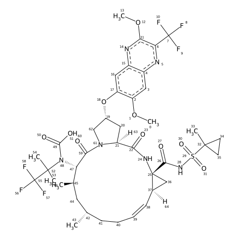 COc1cc2nc(C(F)(F)F)c(OC)nc2cc1O[C@@H]1C[C@H]2C(=O)N[C@]3(C(=O)NS(=O)(=O)C4(C)CC4)C[C@H]3/C=C\CC[C@H](C)C[C@@H](C)[C@H](N(C(=O)O)C(C)(C)C(F)(F)F)C(=O)N2C1